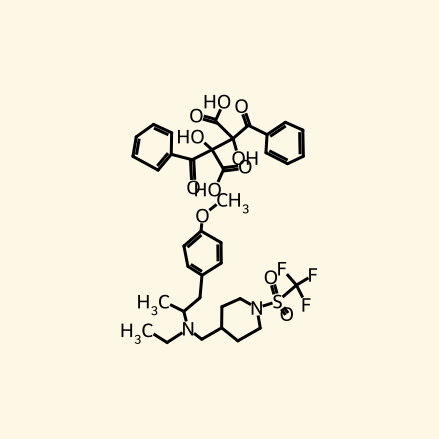 CCN(CC1CCN(S(=O)(=O)C(F)(F)F)CC1)C(C)Cc1ccc(OC)cc1.O=C(O)C(O)(C(=O)c1ccccc1)C(O)(C(=O)O)C(=O)c1ccccc1